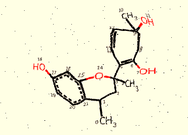 CC1CC(C)(C2=C(O)CC(C)(O)C=C2)Oc2cc(O)ccc21